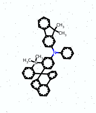 CC1(C)c2ccccc2-c2ccc(N(c3ccccc3)c3ccc4c(c3)[Si](C)(C)c3ccccc3C43c4ccccc4-c4cccc5cccc3c45)cc21